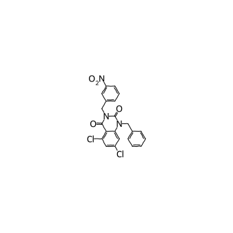 O=c1c2c(Cl)cc(Cl)cc2n(Cc2ccccc2)c(=O)n1Cc1cccc([N+](=O)[O-])c1